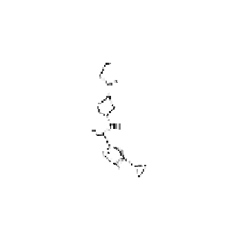 O=C(NC1CCN(C2CCCC2)C1)c1cc(C2CC2)on1